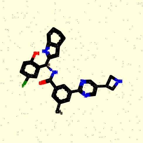 Cc1cc(C(=O)N[C@@H](c2cc3ccccc3[nH]2)c2cc(F)ccc2O)cc(-c2ncc(C3CNC3)cn2)c1